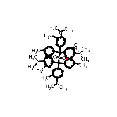 Cc1ccc(C(c2ccc(N(C)C)c(C)c2)(c2ccc(N(C)C)c(C)c2)S(=O)(=O)C(c2ccc(C)cc2)(c2ccc(N(C)C)c(C)c2)c2ccc(N(C)C)c(C)c2)cc1